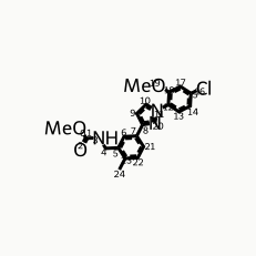 COC(=O)NCc1cc(-c2ccn(-c3ccc(Cl)cc3OC)n2)ccc1C